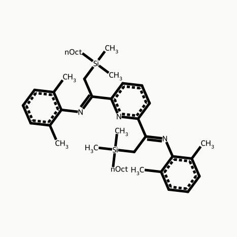 CCCCCCCC[Si](C)(C)CC(=Nc1c(C)cccc1C)c1cccc(C(C[Si](C)(C)CCCCCCCC)=Nc2c(C)cccc2C)n1